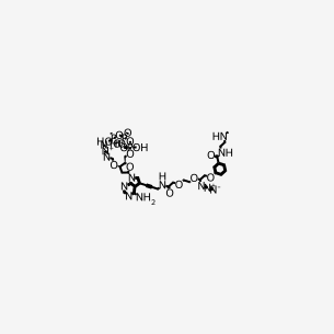 CNCCNC(=O)c1cccc(OCC(N=[N+]=[N-])OCCOCC(=O)NCC#Cc2cn([C@H]3C[C@@H](OCN=[N+]=[N-])[C@@H](COP(=O)(O)OP(=O)(O)OP(C)(=O)O)O3)c3ncnc(N)c23)c1